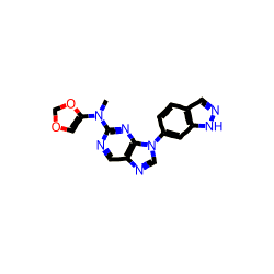 CN(C1=COCO1)c1ncc2ncn(-c3ccc4cn[nH]c4c3)c2n1